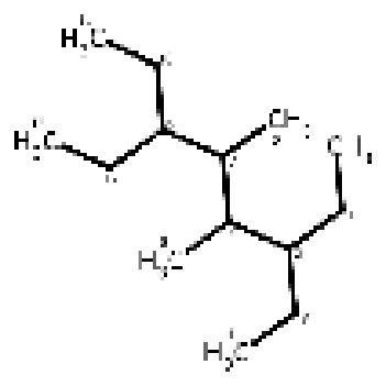 CCC(CC)[C](C)C(C)C(CC)CC